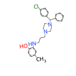 Cc1ccc(O)c(NCCCN2CCN(C(c3ccccc3)c3ccc(Cl)cc3)CC2)c1